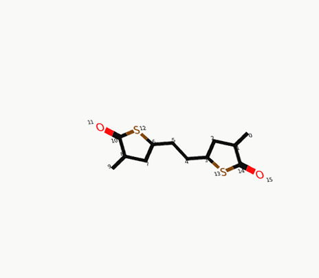 CC1CC(CCC2CC(C)C(=O)S2)SC1=O